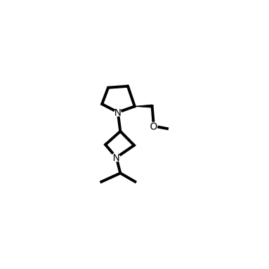 COC[C@@H]1CCCN1C1CN(C(C)C)C1